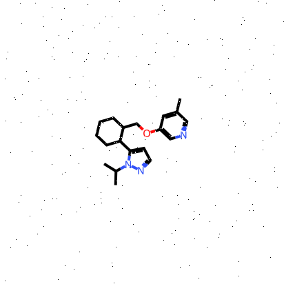 Cc1cncc(OCC2CCCCC2c2ccnn2C(C)C)c1